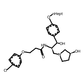 CCCCCCCOc1ccc([C@@H](O)[C@@H](CN2CC[C@H](O)C2)NC(=O)CCOc2ccc(Cl)cc2)cc1